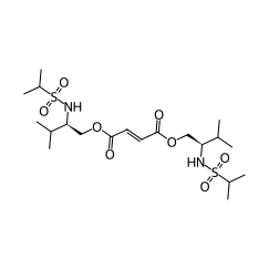 CC(C)[C@H](COC(=O)/C=C/C(=O)OC[C@H](NS(=O)(=O)C(C)C)C(C)C)NS(=O)(=O)C(C)C